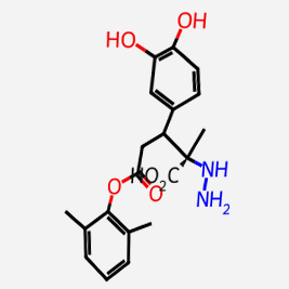 Cc1cccc(C)c1OC(=O)CC(c1ccc(O)c(O)c1)[C@](C)(NN)C(=O)O